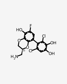 NC[C@H]1COc2c(O)c(F)cc(-c3c(Cl)cc(O)c(O)c3Cl)c2O1